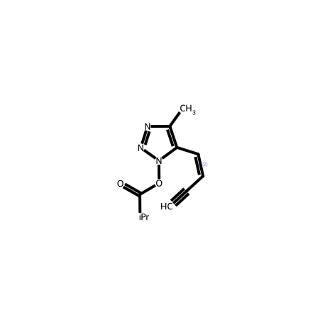 C#C/C=C\c1c(C)nnn1OC(=O)C(C)C